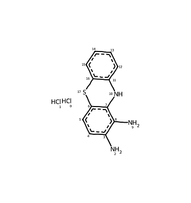 Cl.Cl.Nc1ccc2c(c1N)Nc1ccccc1S2